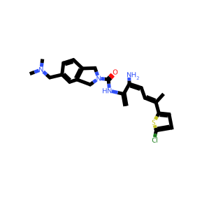 C=C(NC(=O)N1Cc2ccc(CN(C)C)cc2C1)/C(N)=C\C=C(/C)c1ccc(Cl)s1